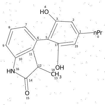 CCCc1cc(O)c(-c2cccc3c2C(C)C(=O)N3)c(O)c1